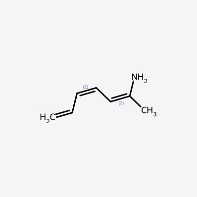 C=C/C=C\C=C(\C)N